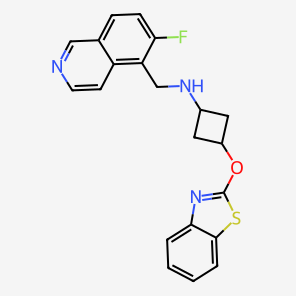 Fc1ccc2cnccc2c1CNC1CC(Oc2nc3ccccc3s2)C1